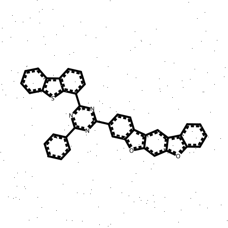 c1ccc(-c2nc(-c3ccc4c(c3)oc3cc5oc6ccccc6c5cc34)nc(-c3cccc4c3sc3ccccc34)n2)cc1